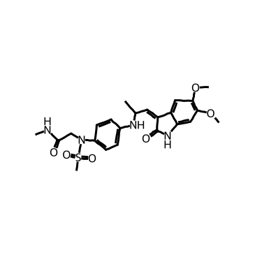 CNC(=O)CN(c1ccc(NC(C)C=C2C(=O)Nc3cc(OC)c(OC)cc32)cc1)S(C)(=O)=O